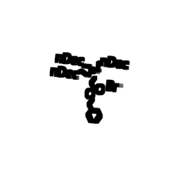 CCCCCCCCCCCC[P+](CCCCCCCCCCCC)(CCCCCCCCCCCC)CCC(=O)OCCc1ccccc1.[Br-]